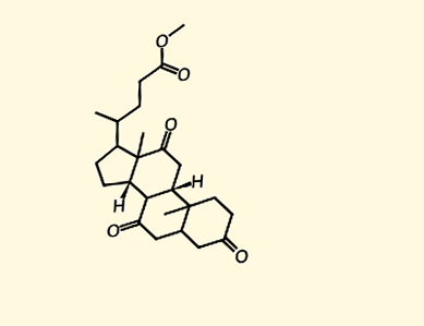 COC(=O)CCC(C)C1CC[C@H]2C3C(=O)CC4CC(=O)CCC4(C)[C@H]3CC(=O)C12C